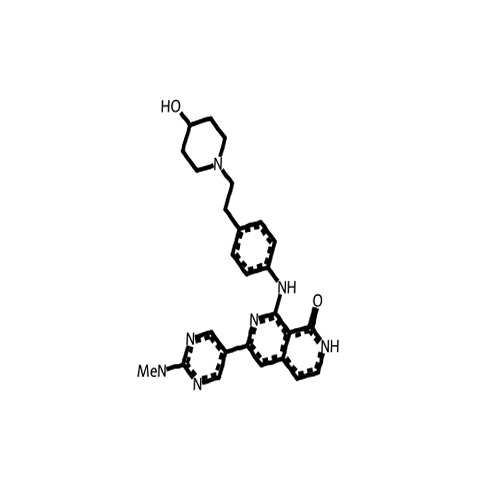 CNc1ncc(-c2cc3cc[nH]c(=O)c3c(Nc3ccc(CCN4CCC(O)CC4)cc3)n2)cn1